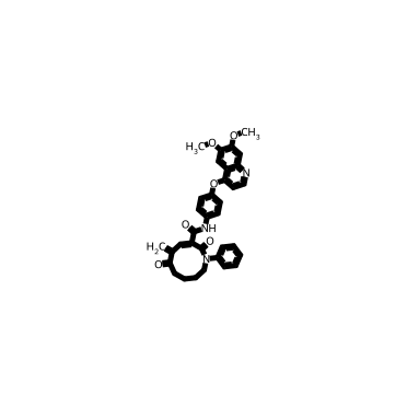 C=C1/C=C(/C(=O)Nc2ccc(Oc3ccnc4cc(OC)c(OC)cc34)cc2)C(=O)N(c2ccccc2)CCCCC1=O